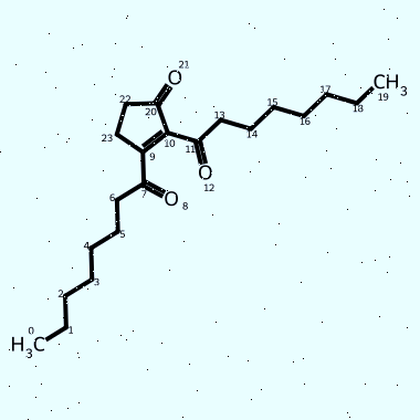 CCCCCCCC(=O)C1=C(C(=O)CCCCCCC)C(=O)CC1